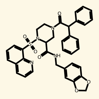 O=C(NCc1ccc2c(c1)OCO2)C1CN(C(=O)C(c2ccccc2)c2ccccc2)CCN1S(=O)(=O)c1cccc2cccnc12